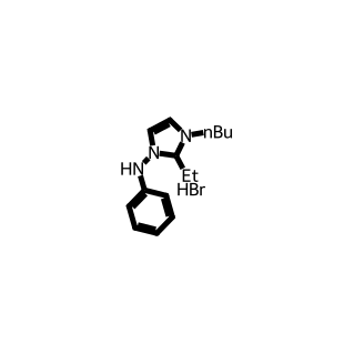 Br.CCCCN1C=CN(Nc2ccccc2)C1CC